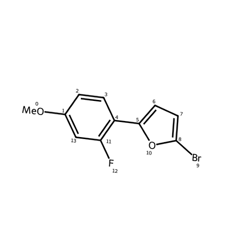 COc1ccc(-c2ccc(Br)o2)c(F)c1